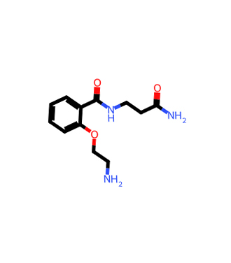 NCCOc1ccccc1C(=O)NCCC(N)=O